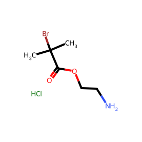 CC(C)(Br)C(=O)OCCN.Cl